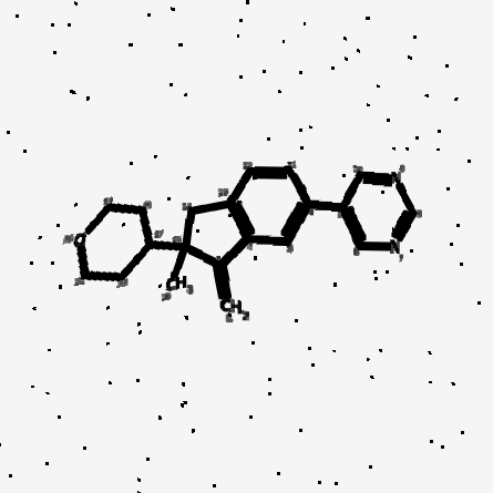 C=C1c2cc(-c3cncnc3)ccc2CC1(C)C1CCOCC1